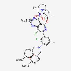 COc1ccc(CN(Cc2ccc(OC)cc2)c2cc(C)cc(-c3nc4c5c(nc(SC)nc5c3F)N3C[C@H]5CC[C@@H]([C@H]3[C@H](C)O4)N5C(=O)OC(C)(C)C)c2F)cc1